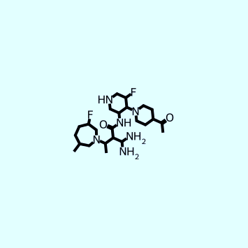 CC(=O)C1CCN(C2C(F)CNCC2NC(=O)C(C(N)N)C(C)N2CC(C)CCC(F)C2)CC1